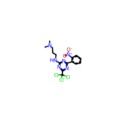 CN(C)CCCNc1nc(-c2ccccc2[N+](=O)[O-])nc(C(Cl)(Cl)Cl)n1